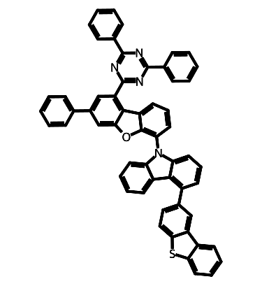 c1ccc(-c2cc(-c3nc(-c4ccccc4)nc(-c4ccccc4)n3)c3c(c2)oc2c(-n4c5ccccc5c5c(-c6ccc7sc8ccccc8c7c6)cccc54)cccc23)cc1